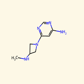 CNC1CN(c2cc(N)ncn2)C1